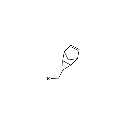 N#CCC1C2C3C=CC(C3)C12